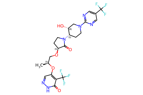 C[C@@H](CO[C@H]1CCN([C@H]2CCN(c3ncc(C(F)(F)F)cn3)C[C@H]2O)C1=O)Oc1cn[nH]c(=O)c1C(F)(F)F